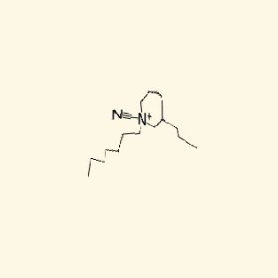 CCCCCCC[N+]1(C#N)CCCC(CCC)C1